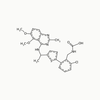 COc1ccc2nc(C)nc(NC(C)c3ccc(-c4cccc(Cl)c4CNC(=O)O)s3)c2c1OC